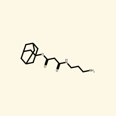 NCCCNC(=O)CC(=O)OC12CC3CC(CC(C3)C1)C2